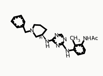 CC(=O)Nc1cccc(Nc2ncnc(N[C@@H]3CCCN(Cc4ccccc4)C3)n2)c1C